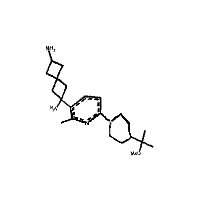 COC(C)(C)C1CCN(c2ccc(C3(N)CC4(CC(N)C4)C3)c(C)n2)CC1